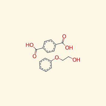 O=C(O)c1ccc(C(=O)O)cc1.OCCOc1ccccc1